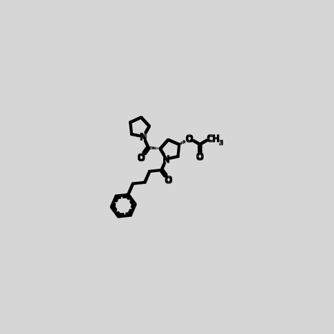 CC(=O)O[C@H]1C[C@@H](C(=O)N2CCCC2)N(C(=O)CCCc2ccccc2)C1